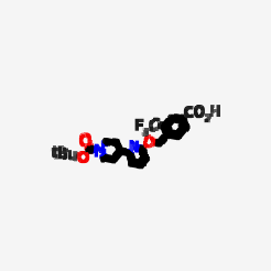 CC(C)(C)OC(=O)N1CCC(c2cccc(OCc3ccc(C(=O)O)cc3C(F)(F)F)n2)CC1